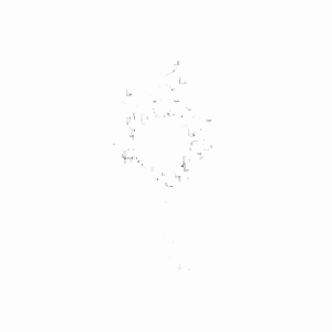 CCC(C)CC(C)CCCCCCCCC(=O)NC1CC(O)CNC(=O)C2C(O)CCN2C(=O)C(C(O)CCN)NC(=O)C(C(O)C(O)c2ccc(O)cc2)NC(=O)C2CC(O)CN2C(=O)C(C(C)O)NC1=O